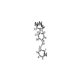 [CH](Cc1cccnc1)c1ccc(-c2cnns2)cc1